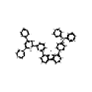 c1ccc(-c2cc(-c3ccccc3)nc(-c3cccc(-c4cccc5c4oc4c(-c6ccc(N(c7ccccc7)c7ccccc7)cc6)cccc45)c3)n2)cc1